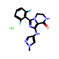 Cl.Cn1cc(Nc2nc(-c3c(F)cccc3F)n3c2C(=O)NCC3)cn1